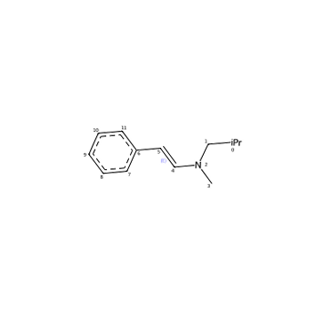 CC(C)CN(C)/C=C/c1ccccc1